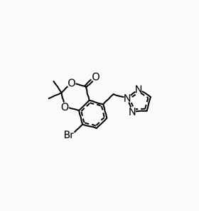 CC1(C)OC(=O)c2c(Cn3nccn3)ccc(Br)c2O1